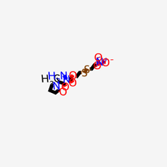 C[C@@H](C(=O)N(N)C(=O)OCCSSCCO[N+](=O)[O-])N1CCCC1=O